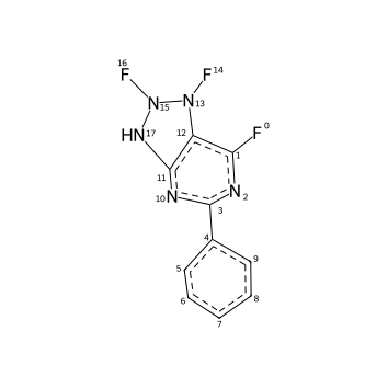 Fc1nc(-c2ccccc2)nc2c1N(F)N(F)N2